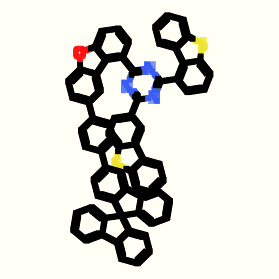 c1ccc2c(c1)-c1ccccc1C21c2ccccc2-c2cc(-c3ccc(-c4ccc5oc6cccc(-c7nc(-c8ccc9sc%10ccccc%10c9c8)nc(-c8cccc9sc%10ccccc%10c89)n7)c6c5c4)cc3)ccc21